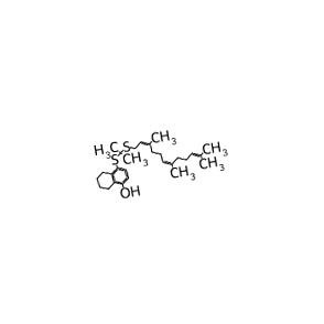 CC(C)=CCCC(C)=CCCC(C)=CCSC(C)(C)Sc1ccc(O)c2c1CCCC2